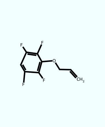 C=CCOc1c(F)c(F)cc(F)c1F